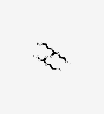 CCCOC(=O)OC.CCCOC(=O)OCCC